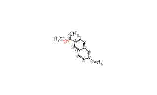 COC(C)c1ccc2cc([SiH3])ccc2c1